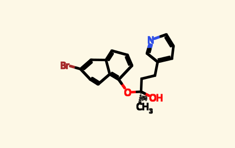 C[C@@](O)(CCc1cccnc1)Oc1cccc2cc(Br)ccc12